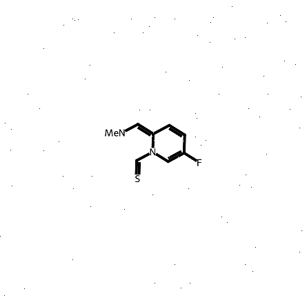 CN/C=C1/C=CC(F)=CN1C=S